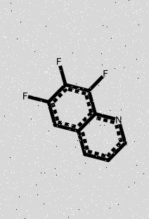 Fc1cc2cccnc2c(F)c1F